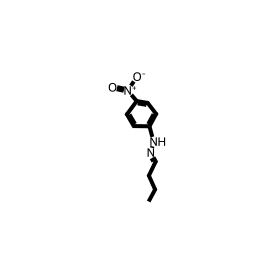 CCCC=NNc1ccc([N+](=O)[O-])cc1